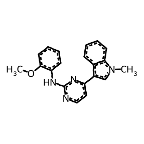 COc1ccccc1Nc1nccc(-c2cn(C)c3ccccc23)n1